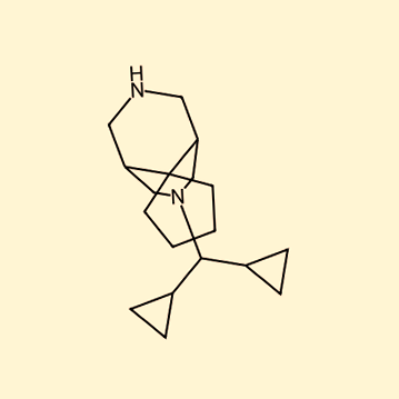 C1CCC2(C1)C1CNCC2CN(C(C2CC2)C2CC2)C1